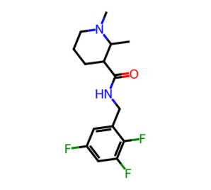 CC1C(C(=O)NCc2cc(F)cc(F)c2F)CCCN1C